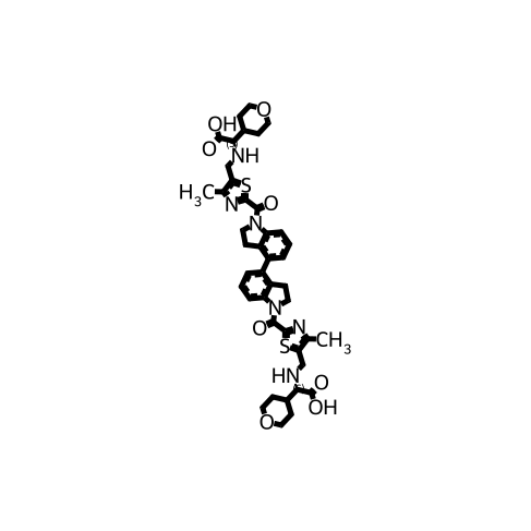 Cc1nc(C(=O)N2CCc3c(-c4cccc5c4CCN5C(=O)c4nc(C)c(CN[C@H](C(=O)O)C5CCOCC5)s4)cccc32)sc1CN[C@H](C(=O)O)C1CCOCC1